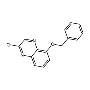 Clc1cnc2c(OCc3ccccc3)cccc2n1